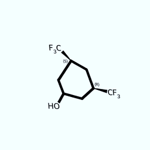 OC1C[C@@H](C(F)(F)F)C[C@@H](C(F)(F)F)C1